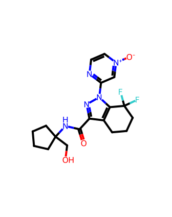 O=C(NC1(CO)CCCC1)c1nn(-c2c[n+]([O-])ccn2)c2c1CCCC2(F)F